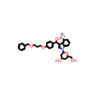 Cc1cccc2c1c(C(O)c1ccc(OCCCOCc3ccccc3)cc1)cn2C1CC(O)CC(CO)O1